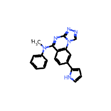 CN(c1ccccc1)c1nc2nncn2c2cc(-c3ccc[nH]3)ccc12